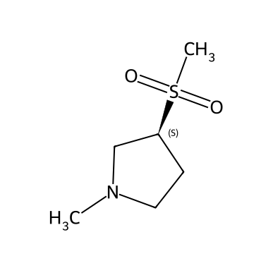 CN1CC[C@H](S(C)(=O)=O)C1